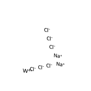 [Cl-].[Cl-].[Cl-].[Cl-].[Cl-].[Cl-].[Na+].[Na+].[W+4]